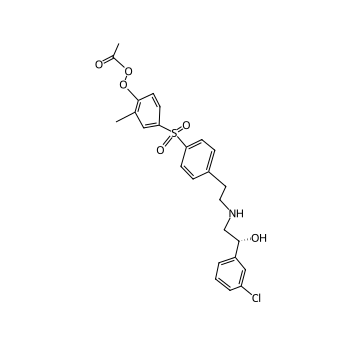 CC(=O)OOc1ccc(S(=O)(=O)c2ccc(CCNC[C@H](O)c3cccc(Cl)c3)cc2)cc1C